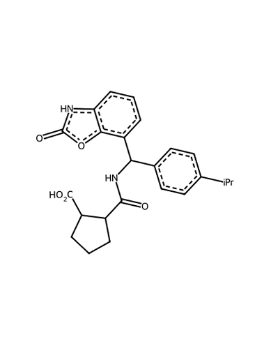 CC(C)c1ccc(C(NC(=O)C2CCCC2C(=O)O)c2cccc3[nH]c(=O)oc23)cc1